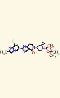 Cc1cn2cc(-c3ncc4c(=O)n([C@@H]5CCN(C(=O)OC(C)(C)C)C6(CC6)C5)ccc4n3)cc(F)c2n1